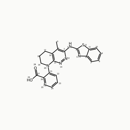 Cc1c(Nc2nc3ccccc3s2)nnc2c1CCCN2c1cccnc1C(=O)O